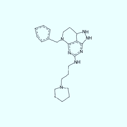 c1ccc(CN2CCC3NNc4nc(NCCCN5CCCCC5)nc2c43)cc1